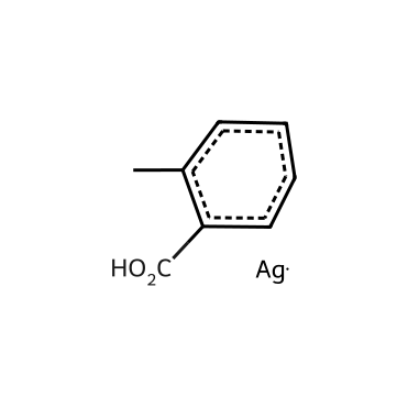 Cc1ccccc1C(=O)O.[Ag]